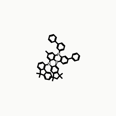 Cc1cc2c3c(c1)N(c1cccc4c1-c1ccccc1C4(C)C)c1cc4c(cc1B3c1ccc(-c3ccccc3)cc1N2c1cccc(-c2ccccc2)c1)C(C)(C)CC4(C)C